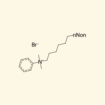 CCCCCCCCCCCCCCC[N+](C)(C)c1ccccc1.[Br-]